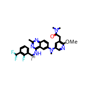 COc1ncc(N(C)c2ccc3nc(C)nc(N[C@H](C)c4cccc(C(F)F)c4F)c3c2)cc1CC(=O)N(C)C